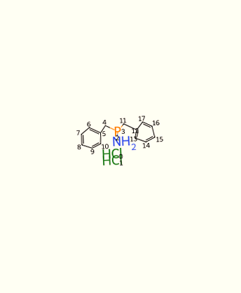 Cl.Cl.NP(Cc1ccccc1)Cc1ccccc1